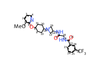 COc1cccnc1OC1CCC(N2CC(NC(=O)CNC(=O)c3cccc(C(F)(F)F)c3)C2)CC1